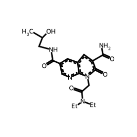 CCN(CC)C(=O)Cn1c(=O)c(C(N)=O)cc2cc(C(=O)NCC(C)O)cnc21